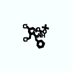 CC(C)(C)OC(=O)N[C@@H](Cc1ccccc1)c1ncc(Cl)cc1CCl